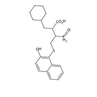 O=[PH2]C(CSc1c(O)ccc2ccccc12)C(CC1CCCCC1)C(=O)O